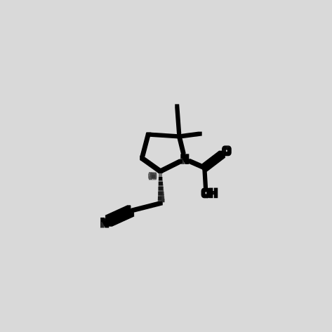 CC1(C)CC[C@@H](CC#N)N1C(=O)O